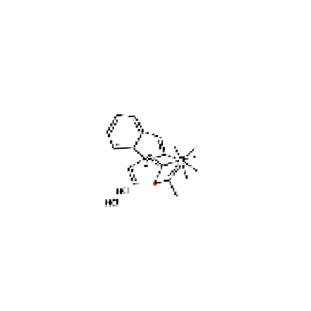 C[C](C)=[Ti]([CH3])([CH3])([CH3])([CH3])([CH3])([C]1=CC=CC1)[c]1cc2ccccc2[nH]1.Cl.Cl